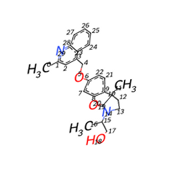 Cc1cc(COc2ccc(C3(C)CCN(C(C)CO)C3=O)cc2)c2ccccc2n1